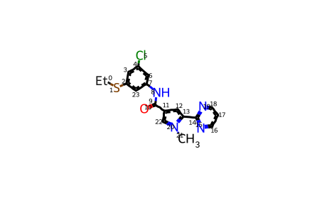 CCSc1cc(Cl)cc(NC(=O)c2cc(-c3ncccn3)n(C)c2)c1